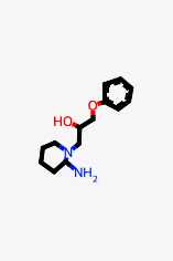 NC1CCCCN1CC(O)COc1ccccc1